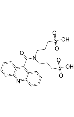 O=C(c1c2ccccc2nc2ccccc12)N(CCCS(=O)(=O)O)CCCS(=O)(=O)O